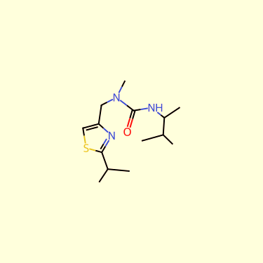 CC(C)c1nc(CN(C)C(=O)NC(C)C(C)C)cs1